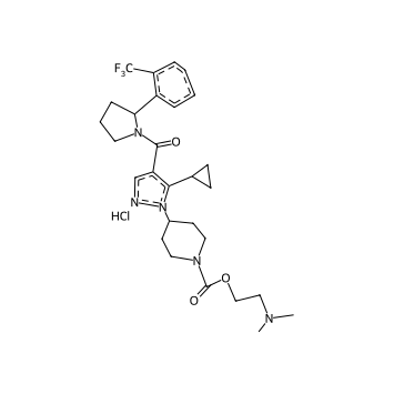 CN(C)CCOC(=O)N1CCC(n2ncc(C(=O)N3CCCC3c3ccccc3C(F)(F)F)c2C2CC2)CC1.Cl